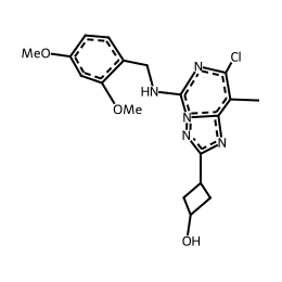 COc1ccc(CNc2nc(Cl)c(C)c3nc(C4CC(O)C4)nn23)c(OC)c1